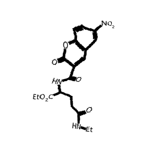 CCNC(=O)CCC(NC(=O)c1cc2cc([N+](=O)[O-])ccc2oc1=O)C(=O)OCC